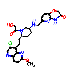 COc1ccc2ncc(Cl)c(CC[C@@H]3CC[C@H](NCc4ccc5c(n4)NC(=O)CO5)CN3C(=O)CO)c2n1